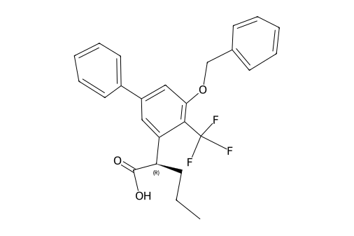 CCC[C@@H](C(=O)O)c1cc(-c2ccccc2)cc(OCc2ccccc2)c1C(F)(F)F